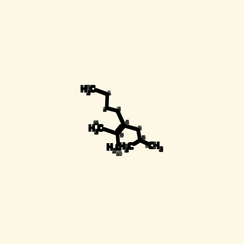 CCCCC(CC(C)C)=C(C)C